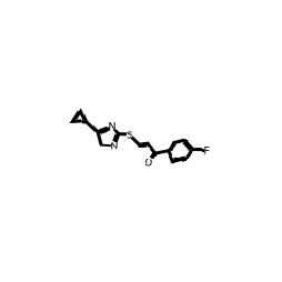 O=C(/C=C/SC1=NCC(C2CC2)=N1)c1ccc(F)cc1